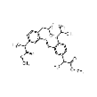 COC(=O)C(C)c1ccc(CC(C)C)c(N=Nc2cc(C(C)C(=O)OC)ccc2CC(C)C)c1